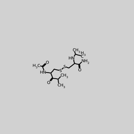 CC(=O)NC(CSSCC(NC(C)C)C(N)=O)C(=O)C(C)C